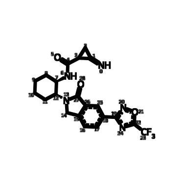 N=C1CC1C(=O)N[C@@H]1CCCC[C@H]1N1Cc2ccc(-c3noc(C(F)(F)F)n3)cc2C1=O